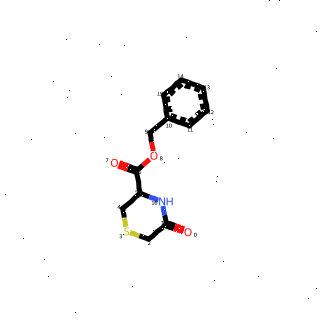 O=C1CSCC(C(=O)OCc2ccccc2)N1